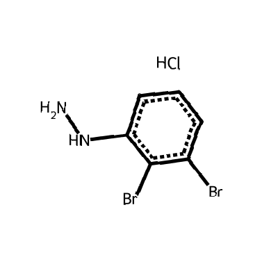 Cl.NNc1cccc(Br)c1Br